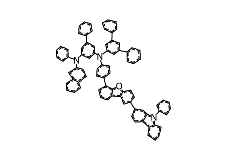 c1ccc(-c2cc(-c3ccccc3)cc(N(c3ccc(-c4cccc5c4oc4ccc(-c6ccc7c8ccccc8n(-c8ccccc8)c7c6)cc45)cc3)c3cc(-c4ccccc4)cc(N(c4ccccc4)c4ccc5ccccc5c4)c3)c2)cc1